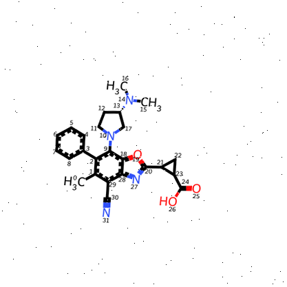 Cc1c(-c2ccccc2)c(N2CC[C@H](N(C)C)C2)c2oc(C3CC3C(=O)O)nc2c1C#N